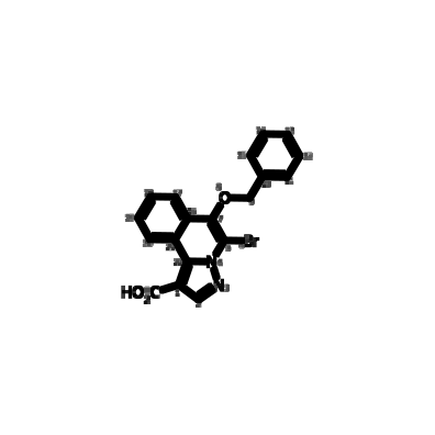 O=C(O)c1cnn2c(Br)c(OCc3ccccc3)c3ccccc3c12